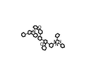 c1ccc(-c2ccc3c(c2)c2ccccc2n3-c2cccc3oc4ccc(-c5cccc(-c6ccc(-c7cccc(-c8nc(-c9ccccc9)nc(-c9ccccc9)n8)c7)c7c6oc6ccccc67)c5)cc4c23)cc1